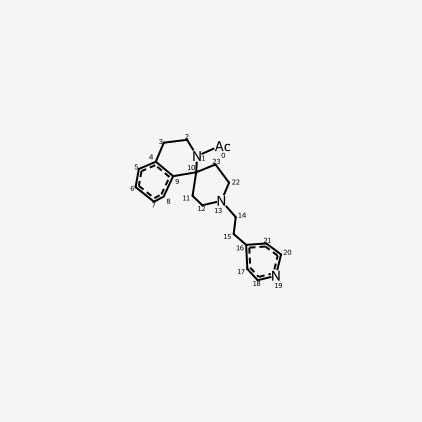 CC(=O)N1CCc2ccccc2C12CCN(CCc1ccncc1)CC2